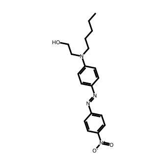 CCCCCN(CCO)c1ccc(/N=N/c2ccc([N+](=O)[O-])cc2)cc1